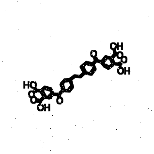 O=C(c1ccc(CCc2ccc(C(=O)c3ccc(C(=O)O)c(C(=O)O)c3)cc2)cc1)c1ccc(C(=O)O)c(C(=O)O)c1